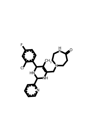 CC1=C(CN2CCNC(=O)CC2)NC(c2ccccn2)NC1c1ccc(F)cc1Cl